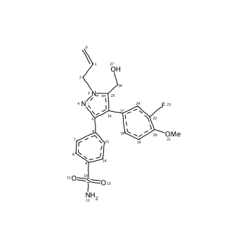 C=CCn1nc(-c2ccc(S(N)(=O)=O)cc2)c(-c2ccc(OC)c(F)c2)c1CO